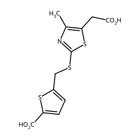 Cc1nc(SCc2ccc(C(=O)O)s2)sc1CC(=O)O